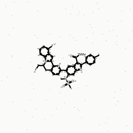 CNC(=O)c1c(-c2ccc(C)cc2)oc2cc(N(C)S(C)(=O)=O)c(-c3ccc4c(n3)-c3cc5c(F)cccc5n3C(CF)C4)cc12